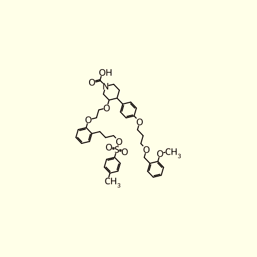 COc1ccccc1COCCCOc1ccc(C2CCN(C(=O)O)CC2OCCOc2ccccc2CCCOS(=O)(=O)c2ccc(C)cc2)cc1